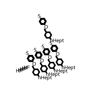 CCCCCCCC1CCC(COc2ccc([S])cc2)CC1.CCCCCCCC1CCC(COc2ccc([S])cc2)CC1.CCCCCCCC1CCC(COc2ccc([S])cc2)CC1.CCCCCCCC1CCC(COc2ccc([S])cc2)CC1.CCCCCCCC1CCC(COc2ccc([S])cc2)CC1.F.F.F.F.F